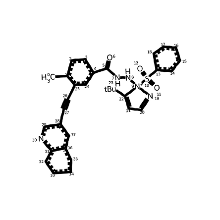 Cc1ccc(C(=O)NN[N+]2(S(=O)(=O)c3ccccc3)N=CC=C2C(C)(C)C)cc1C#Cc1cnc2ccccc2c1